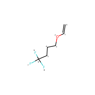 C=COCCCC(F)(F)F